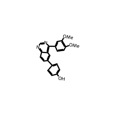 COc1ccc(-c2ncnc3ccc(-c4ccc(O)cc4)cc23)cc1OC